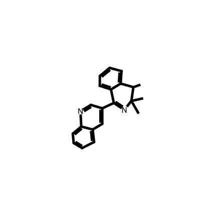 CC1c2ccccc2C(c2cnc3ccccc3c2)=NC1(C)C